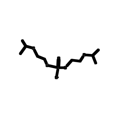 CC(C)OCCOP([O])(=O)OCCOC(C)C